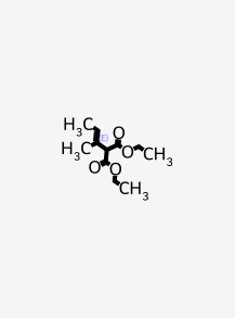 C/C=C(\C)C(C(=O)OCC)C(=O)OCC